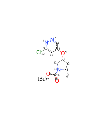 C[C@H]1C[C@@H](Oc2cnnc(Cl)c2)CN1C(=O)OC(C)(C)C